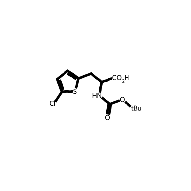 CC(C)(C)OC(=O)NC(Cc1ccc(Cl)s1)C(=O)O